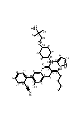 CCCCc1c(Cc2ccc(-c3ccccc3C#N)c(F)c2)c(=O)n([C@H]2CC[C@H](OCC(C)(C)O)CC2)c2ccnn12